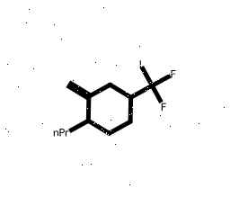 C=C1CC(C(F)(F)I)CCC1CCC